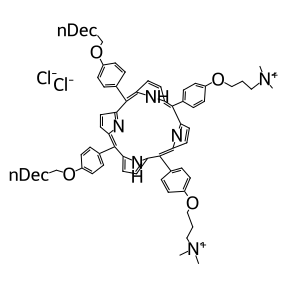 CCCCCCCCCCCOc1ccc(-c2c3nc(c(-c4ccc(OCCCCCCCCCCC)cc4)c4ccc([nH]4)c(-c4ccc(OCCC[N+](C)(C)C)cc4)c4nc(c(-c5ccc(OCCC[N+](C)(C)C)cc5)c5ccc2[nH]5)C=C4)C=C3)cc1.[Cl-].[Cl-]